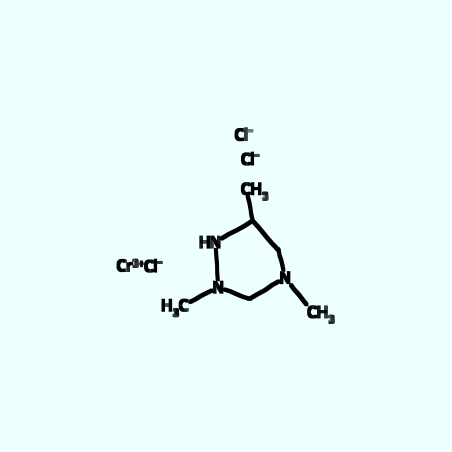 CC1CN(C)CN(C)N1.[Cl-].[Cl-].[Cl-].[Cr+3]